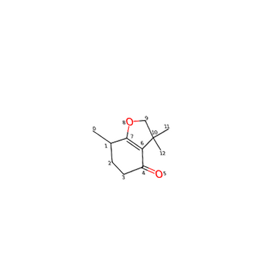 CC1CCC(=O)C2=C1OCC2(C)C